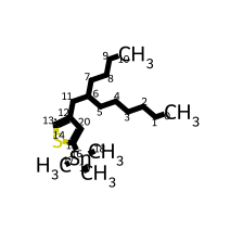 CCCCCCC(CCCC)Cc1[c]s[c]([Sn]([CH3])([CH3])[CH3])c1